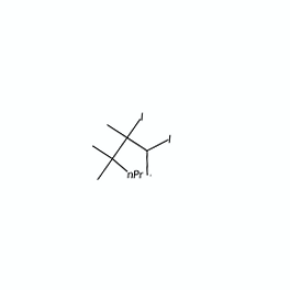 [CH2]C(I)C(C)(I)C(C)(C)CCC